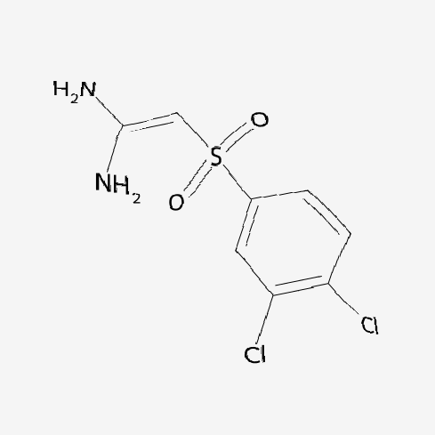 NC(N)=CS(=O)(=O)c1ccc(Cl)c(Cl)c1